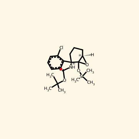 CC(C)(C)OC(=O)N[C@@]1(c2ccccc2Cl)CCC[C@H]2OC21O[Si](C)(C)C